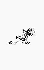 CCCCCCCCCCCCC/C=C/[C@@H](O)[C@H](CO[C@@H]1OC(CO)[C@@H](O[C@@H]2OC(CO)[C@H](O)[C@H](O)C2O)[C@H](O)C1O)NC(=O)CCCCCCCCCCC